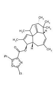 CCc1nc(C(=O)O[C@H]2C(C)=CC34C(=O)[C@@H](C=C(C)C[C@H]23)C(C)(C)[C@@H](C)CC4C)c(C(C)C)s1